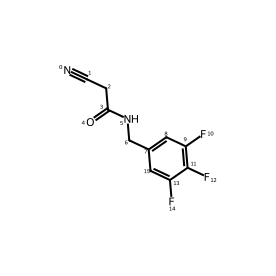 N#CCC(=O)NCc1cc(F)c(F)c(F)c1